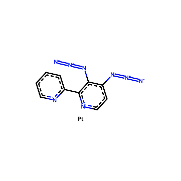 [N-]=[N+]=Nc1ccnc(-c2ccccn2)c1N=[N+]=[N-].[Pt]